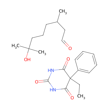 CC(CC=O)CCCC(C)(C)O.CCC1(c2ccccc2)C(=O)NC(=O)NC1=O